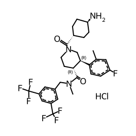 Cc1cc(F)ccc1[C@@H]1CN(C(=O)[C@H]2CC[C@H](N)CC2)CC[C@H]1C(=O)N(C)Cc1cc(C(F)(F)F)cc(C(F)(F)F)c1.Cl